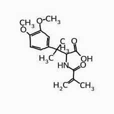 C=C(C)C(=O)NC(C(=O)O)C(C)(C)c1ccc(OC)c(OC)c1